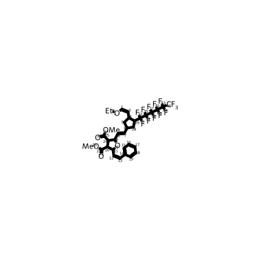 CCO/C=C\C1CC(/C=C/C2OC(/C=C\c3ccccc3)C(C(=O)OC)C2C(=O)OC)CC1C(F)(F)C(F)(F)C(F)(F)C(F)(F)C(F)(F)C(F)(F)F